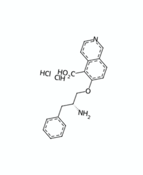 Cl.Cl.N[C@@H](COc1ccc2cnccc2c1C(=O)O)Cc1ccccc1